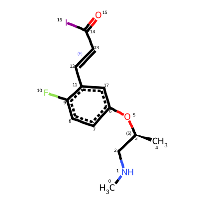 CNC[C@H](C)Oc1ccc(F)c(/C=C/C(=O)I)c1